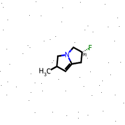 CC1C=C2C[C@@H](F)CN2C1